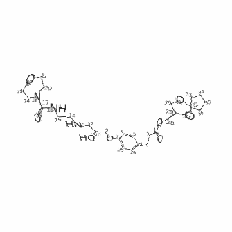 O=C(CCc1ccc(OCC(O)CNCCNC(=O)N2CCOCC2)cc1)OCC1COC2(CCCC2)O1